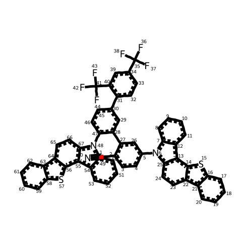 N#Cc1ccc(-n2c3ccccc3c3c4sc5ccccc5c4ccc32)cc1-c1cc(-c2ccc(C(F)(F)F)cc2C(F)(F)F)ccc1-n1c2ccccc2c2c3sc4ccccc4c3ccc21